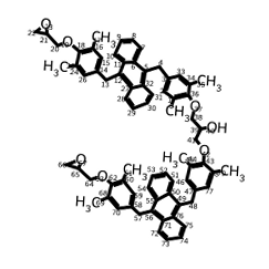 Cc1cc(Cc2c3ccccc3c(Cc3cc(C)c(OCC4CO4)c(C)c3)c3ccccc23)cc(C)c1OCC(O)COc1c(C)cc(Cc2c3ccccc3c(Cc3cc(C)c(OCC4CO4)c(C)c3)c3ccccc23)cc1C